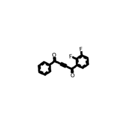 O=C(C#CC(=O)c1cccc(F)c1F)c1ccccc1